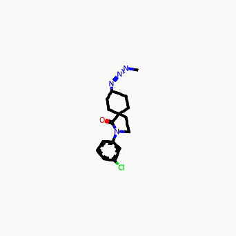 CN=[N+]=NC1CCC2(CC1)CCN(c1cccc(Cl)c1)C2=O